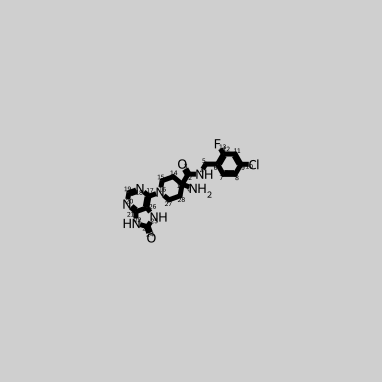 NC1(C(=O)NCc2ccc(Cl)cc2F)CCN(c2ncnc3[nH]c(=O)[nH]c23)CC1